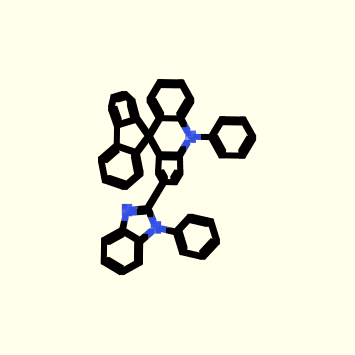 c1ccc(N2c3ccccc3C3(c4ccccc4-c4ccccc43)c3cc(-c4nc5ccccc5n4-c4ccccc4)ccc32)cc1